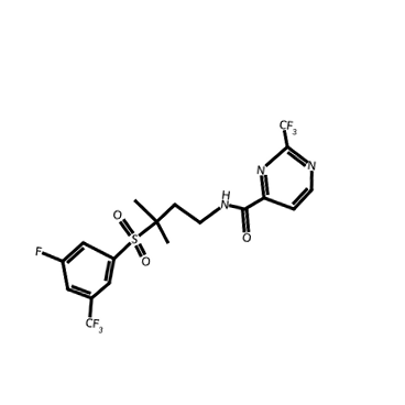 CC(C)(CCNC(=O)c1ccnc(C(F)(F)F)n1)S(=O)(=O)c1cc(F)cc(C(F)(F)F)c1